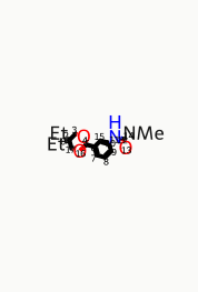 CCC1(CC)COC(c2cccc(NC(=O)NC)c2)OC1